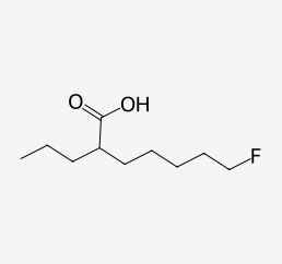 CCCC(CCCCCF)C(=O)O